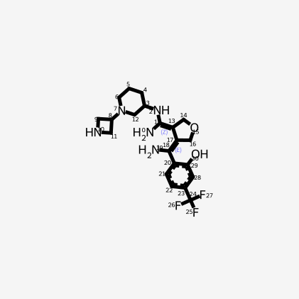 N/C(NC1CCCN(C2CNC2)C1)=C1/COC/C1=C(/N)c1ccc(C(F)(F)F)cc1O